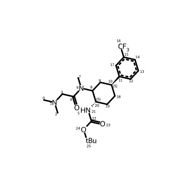 CN(C)CC(=O)N(C)C1C[C@@H](c2cccc(C(F)(F)F)c2)CC[C@@H]1NC(=O)OC(C)(C)C